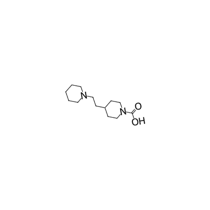 O=C(O)N1CCC(CCN2CCCCC2)CC1